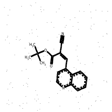 CC(C)(C)OC(=O)C(C#N)=Cc1ccnc2ccccc12